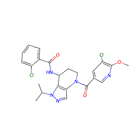 COc1ncc(C(=O)N2CCC(NC(=O)c3ccccc3Cl)c3c2cnn3C(C)C)cc1Cl